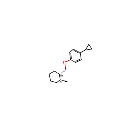 C[C@H]1CCCC[C@@H]1COc1ccc(C2CC2)cc1